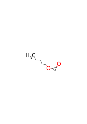 CCCCCOC1CC1=O